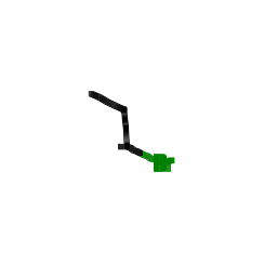 CC[CH]Br